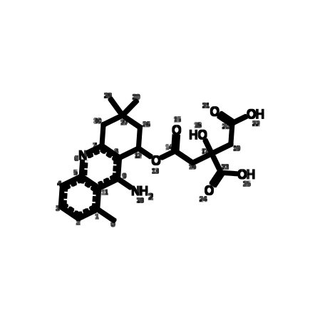 Cc1cccc2nc3c(c(N)c12)C(OC(=O)CC(O)(CC(=O)O)C(=O)O)CC(C)(C)C3